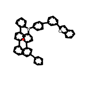 c1ccc(-c2ccc(-c3ccccc3N(c3ccc(-c4cccc(-c5ccccc5)c4)cc3)c3ccc(-c4cccc(-c5cc6ccccc6o5)c4)cc3)cc2)cc1